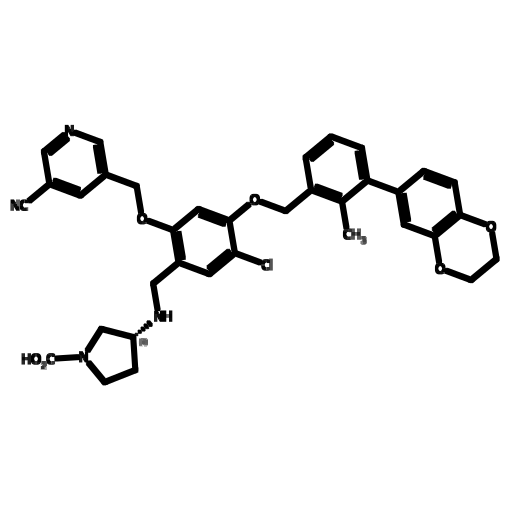 Cc1c(COc2cc(OCc3cncc(C#N)c3)c(CN[C@@H]3CCN(C(=O)O)C3)cc2Cl)cccc1-c1ccc2c(c1)OCCO2